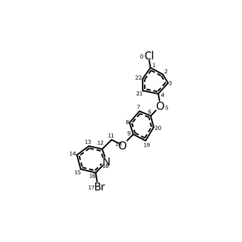 Clc1ccc(Oc2ccc(OCc3cccc(Br)n3)cc2)cc1